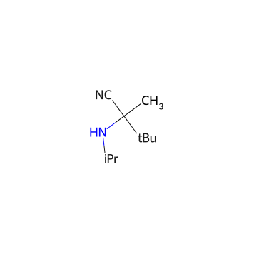 CC(C)NC(C)(C#N)C(C)(C)C